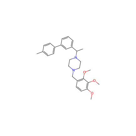 COc1ccc(CN2CCN(C(C)c3cccc(-c4ccc(C)cc4)c3)CC2)c(OC)c1OC